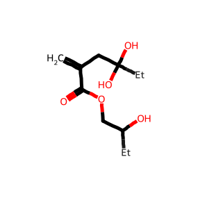 C=C(CC(O)(O)CC)C(=O)OCC(O)CC